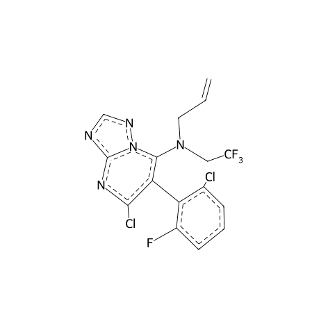 C=CCN(CC(F)(F)F)c1c(-c2c(F)cccc2Cl)c(Cl)nc2ncnn12